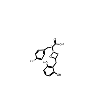 O=C(O)[C@H](Cc1ccc(O)cc1)N1OC(Cc2c(O)cccc2O)O1